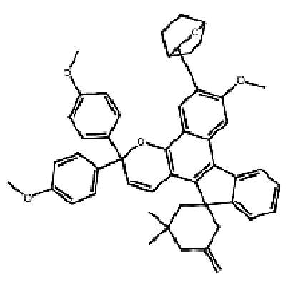 C=C1CC(C)(C)CC2(C1)c1ccccc1-c1c2c2c(c3cc(C4CC5CCC4CC5)c(OC)cc13)OC(c1ccc(OC)cc1)(c1ccc(OC)cc1)C=C2